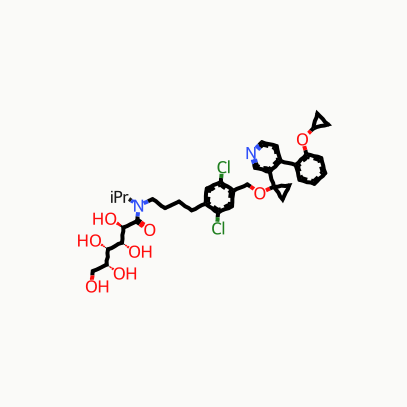 CC(C)N(CCCCc1cc(Cl)c(COC2(c3cnccc3-c3ccccc3OC3CC3)CC2)cc1Cl)C(=O)[C@H](O)[C@H](O)[C@@H](O)[C@H](O)CO